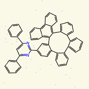 c1ccc(-c2cc(-c3ccccc3)nc(-c3ccc4c5ccccc5c5ccccc5c5ccccc5c5c6ccccc6c6ccccc6c5c4c3)n2)cc1